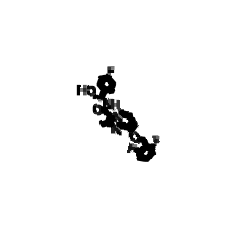 Cc1nc2c(OCc3c(F)cccc3F)cccn2c1C(=O)N[C@@H](CO)c1ccc(F)cc1